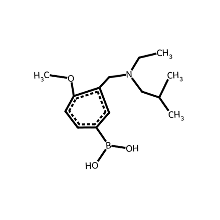 CCN(Cc1cc(B(O)O)ccc1OC)CC(C)C